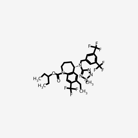 CCc1cc2c(cc1C(F)(F)F)N(C(=O)OC(CC)CC)CCC[C@@H]2N(Cc1cc(C(F)(F)F)cc(C(F)(F)F)c1)c1nnn(C)n1